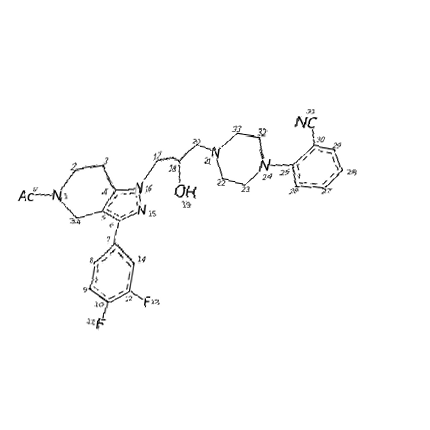 CC(=O)N1CCc2c(c(-c3ccc(F)c(F)c3)nn2CC(O)CN2CCN(c3ccccc3C#N)CC2)C1